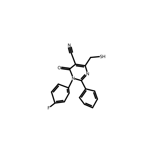 N#Cc1c(CS)nc(-c2ccccc2)n(-c2ccc(F)cc2)c1=O